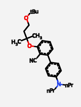 CCCN(CCC)c1ccc(-c2cccc(OC(C)(C)CCOC(C)(C)C)c2C#N)cc1